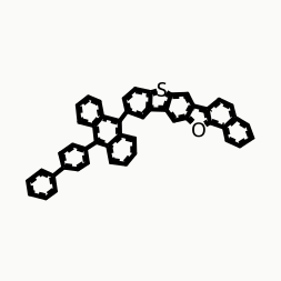 c1ccc(-c2ccc(-c3c4ccccc4c(-c4ccc5sc6cc7c(cc6c5c4)oc4c5ccccc5ccc74)c4ccccc34)cc2)cc1